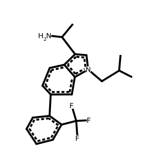 CC(C)Cn1cc(C(C)N)c2ccc(-c3ccccc3C(F)(F)F)cc21